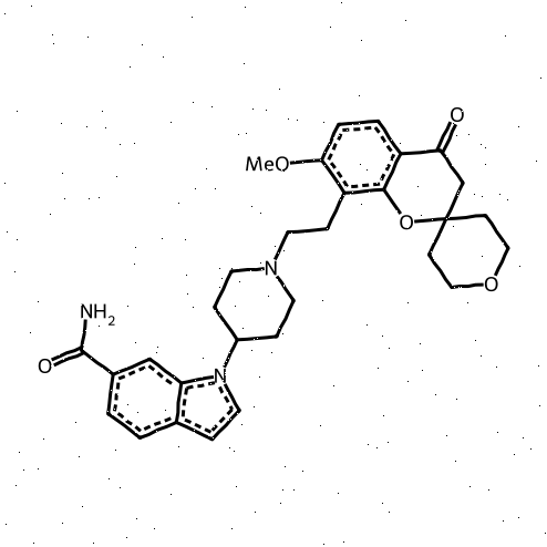 COc1ccc2c(c1CCN1CCC(n3ccc4ccc(C(N)=O)cc43)CC1)OC1(CCOCC1)CC2=O